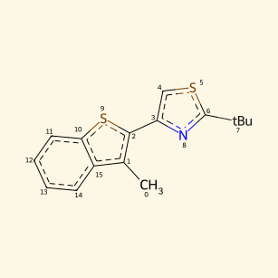 Cc1c(-c2csc(C(C)(C)C)n2)sc2ccccc12